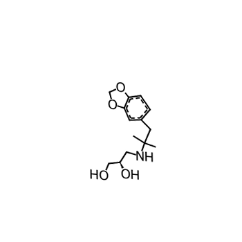 CC(C)(Cc1ccc2c(c1)OCO2)NC[C@@H](O)CO